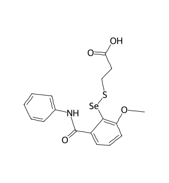 COc1cccc(C(=O)Nc2ccccc2)c1[Se]SCCC(=O)O